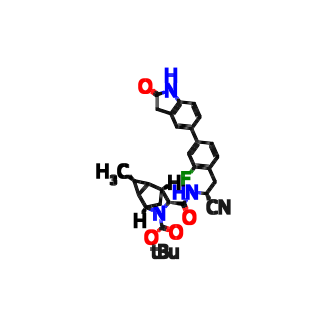 C[C@H]1C2C1[C@@H]1C[C@H]2[C@@H](C(=O)N[C@H](C#N)Cc2ccc(-c3ccc4c(c3)CC(=O)N4)cc2F)N1C(=O)OC(C)(C)C